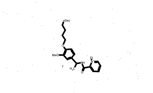 CCCCCCCCCCCCCCOc1ccc(C(C)NC(=O)c2cccc[n+]2CC)cc1OC.[I-]